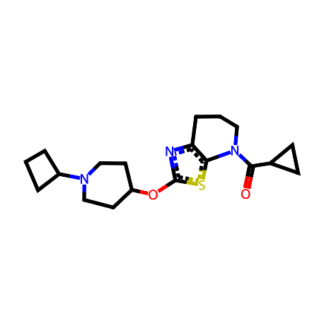 O=C(C1CC1)N1CCCc2nc(OC3CCN(C4CCC4)CC3)sc21